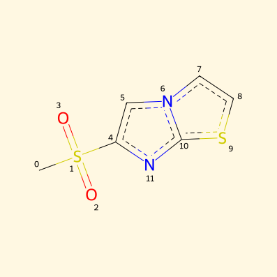 CS(=O)(=O)c1cn2ccsc2n1